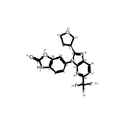 O=c1[nH]c2ccc(-n3c([C@H]4CCOC4)nc4ccc(C(F)(F)F)nc43)cc2o1